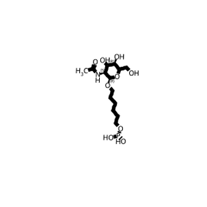 CC(=O)N[C@H]1C(O)[C@@H](O)C(CO)O[C@H]1OCCCCCCO[PH](=O)O